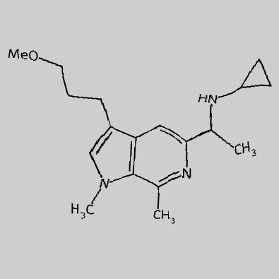 COCCCc1cn(C)c2c(C)nc(C(C)NC3CC3)cc12